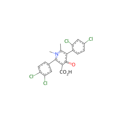 Cc1c(-c2ccc(Cl)cc2Cl)c(=O)c(C(=O)O)c(-c2ccc(Cl)c(Cl)c2)n1C